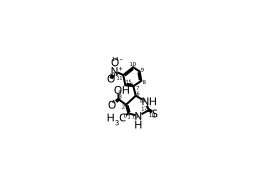 CC1=C(C(=O)O)C(c2cccc([N+](=O)[O-])c2)NC(=S)N1